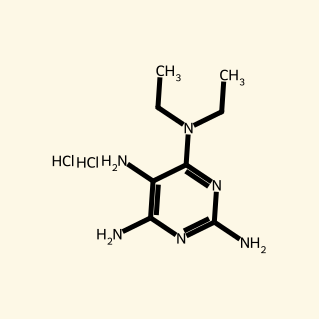 CCN(CC)c1nc(N)nc(N)c1N.Cl.Cl